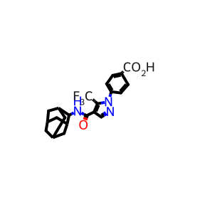 O=C(O)c1ccc(-n2ncc(C(=O)NC3C4CC5CC(C4)CC3C5)c2C(F)(F)F)cc1